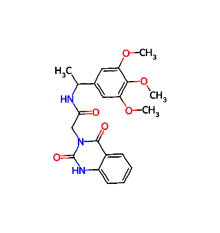 COc1cc(C(C)NC(=O)Cn2c(=O)[nH]c3ccccc3c2=O)cc(OC)c1OC